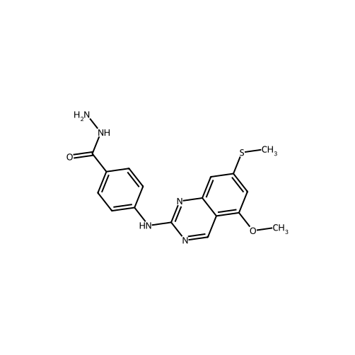 COc1cc(SC)cc2nc(Nc3ccc(C(=O)NN)cc3)ncc12